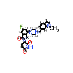 Cn1ccc2ccc(CN3CCN(c4cc(F)cc5c4CN(C4CCC(=O)NC4=O)C5=O)CC3)cc21